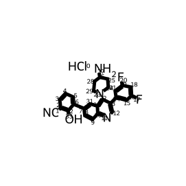 Cl.N#Cc1cccc(-c2ccc3ncc(-c4cc(F)cc(F)c4)c(N4CCC(N)CC4)c3c2)c1O